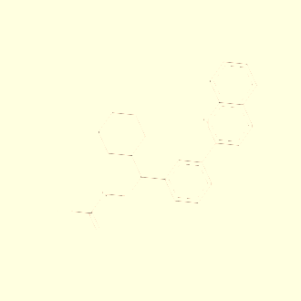 O=C(O)C(=O)NOC(c1cccc(-c2ccc3ccccc3n2)c1)C1CCCCC1